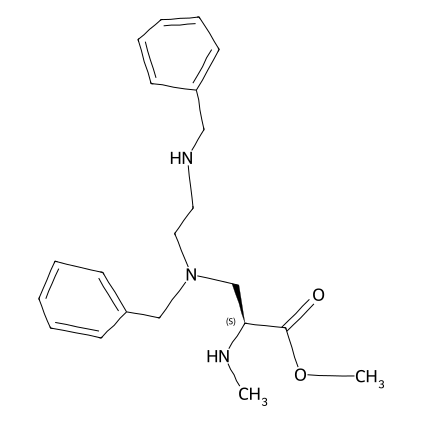 CN[C@@H](CN(CCNCc1ccccc1)Cc1ccccc1)C(=O)OC